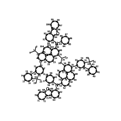 CC(C)c1cc(-c2ccc3c(c2)-c2ccccc2C3(C)C)c2ccc3c(C(C)Cc4cc(-c5ccc6c(c5)-c5ccccc5C6(C)C)c5ccc6ccc(N(c7ccccc7)c7cccc8c7oc7ccccc78)c7ccc4c5c67)cc(N(c4ccccc4)c4cccc5c4oc4ccccc45)c4ccc1c2c34